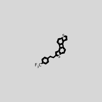 FC(F)(F)c1ccc(CCc2cc3c4c(ccc3s2)-c2c-4ccc3sccc23)cc1